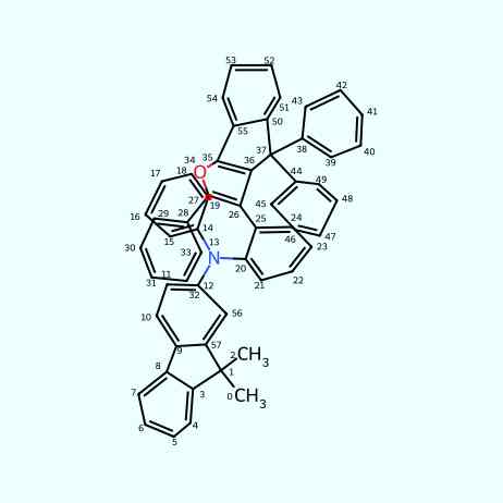 CC1(C)c2ccccc2-c2ccc(N(c3ccccc3)c3ccccc3-c3c(-c4ccccc4)oc4c3C(c3ccccc3)(c3ccccc3)c3ccccc3-4)cc21